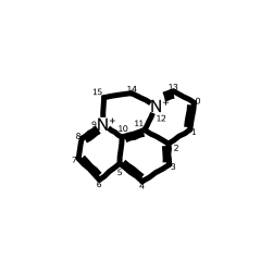 c1cc2ccc3ccc[n+]4c3c2[n+](c1)CC4